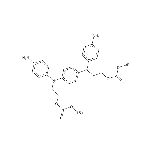 CC(C)(C)OC(=O)OCCN(c1ccc(N)cc1)c1ccc(N(CCOC(=O)OC(C)(C)C)c2ccc(N)cc2)cc1